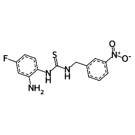 Nc1cc(F)ccc1NC(=S)NCc1cccc([N+](=O)[O-])c1